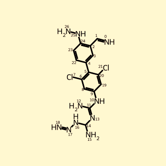 N=Cc1cc(-c2c(Cl)cc(N/C(N)=N/C(N)NN=N)cc2Cl)ccc1NN